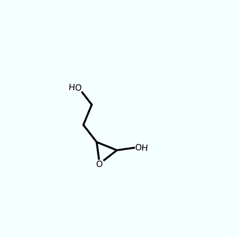 OCCC1OC1O